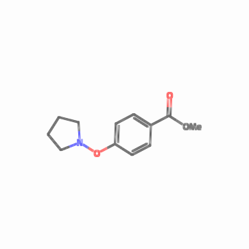 COC(=O)c1ccc(ON2CCCC2)cc1